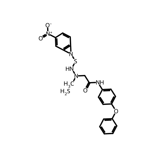 CN(CC(=O)Nc1ccc(Oc2ccccc2)cc1)NSN1c2ccc([N+](=O)[O-])cc21.S